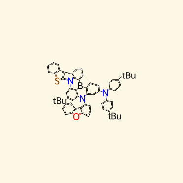 CC(C)(C)c1ccc(N(c2ccc(C(C)(C)C)cc2)c2ccc3c(c2)N(c2cccc4oc5ccccc5c24)c2cc(C(C)(C)C)cc4c2B3c2cccc3c5c6ccccc6sc5n-4c23)cc1